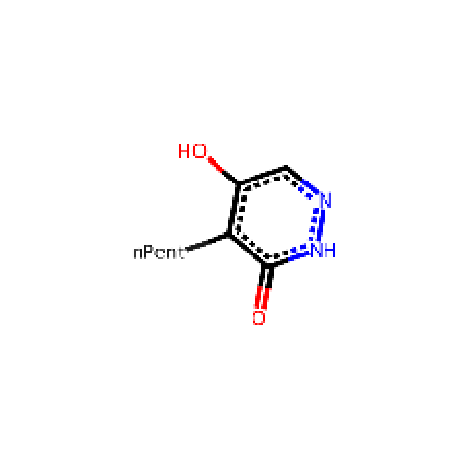 CCCCCc1c(O)cn[nH]c1=O